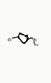 CCCNc1[c]cc([N+](=O)[O-])cc1